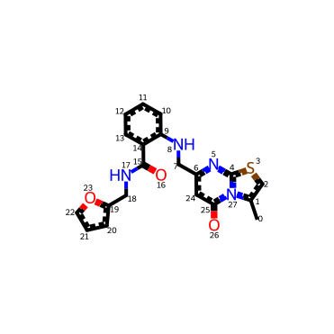 Cc1csc2nc(CNc3ccccc3C(=O)NCc3ccco3)cc(=O)n12